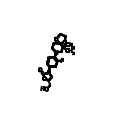 CC1(C)CN(c2ccc(N3C[C@H](CO)OC3=O)cc2F)CCC12OCCO2